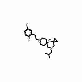 CC(C)CN1CC2(CCN(CCc3cc(F)ccc3F)CC2)OC2(CC2)C1